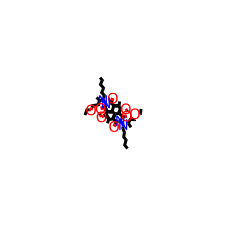 CCCCCCN(C(C)CCOCC)N1C(=O)c2c(C)c(OC)c3c4c(c(C)c(OC)c(c24)C1=O)C(=O)N(N(CCCCCC)C(C)CCOCC)C3=O